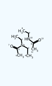 CCN(CC)C(C)=O.CCNC(C)=O